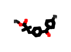 CCc1ccc(C(=O)c2ccc(CC(C)(C)C(=O)OC(C)C)cc2)cc1